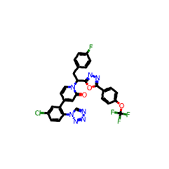 O=c1cc(-c2cc(Cl)ccc2-n2cnnn2)ccn1C(Cc1ccc(F)cc1)c1nnc(-c2ccc(OC(F)(F)F)cc2)o1